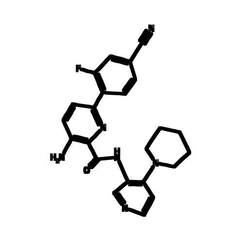 N#Cc1ccc(-c2ccc(N)c(C(=O)Nc3cnccc3N3CCCCC3)n2)c(F)c1